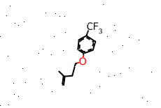 C=C(C)CCOc1ccc(C(F)(F)F)cc1